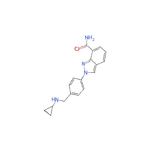 NC(=O)c1cccc2cn(-c3ccc(CNC4CC4)cc3)nc12